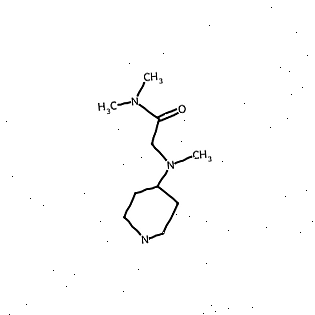 CN(C)C(=O)CN(C)C1CC[N]CC1